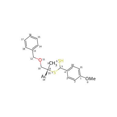 COc1ccc(C(S)S[C@@](C)(COCc2ccccc2)C(C)=O)cc1